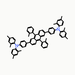 Cc1ccc(N(c2ccc(-c3ccc4c(-c5ccccc5C)c5cc(-c6ccc(N(c7ccc(C)cc7C)c7ccc(C)cc7C)cc6)ccc5c(-c5ccccc5C)c4c3)cc2)c2ccc(C)cc2C)c(C)c1